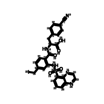 N#Cc1ccc(CC(NC(=O)c2ccc(CI)cc2NS(=O)(=O)c2cccc3nccnc23)C(=O)O)cc1